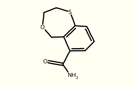 NC(=O)c1cccc2c1COCCS2